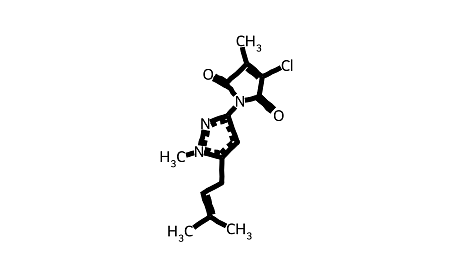 CC(C)=CCc1cc(N2C(=O)C(C)=C(Cl)C2=O)nn1C